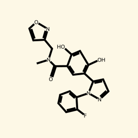 CN(Cc1ccon1)C(=O)c1cc(-c2ccnn2-c2ccccc2F)c(O)cc1O